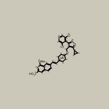 COc1nc(C(=O)O)cc2ccc(/C=C/C34CCC(OCc5c(-c6c(Cl)cncc6Cl)noc5C5CC5)(CC3)CC4)cc12